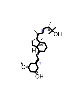 CO[C@@H]1C/C(=C\C=C2/CCC[C@]3(C)[C@@H]([C@H](C)/C=C/[C@H](C)C(C)(C)O)CC[C@@H]23)C[C@@H](O)C1